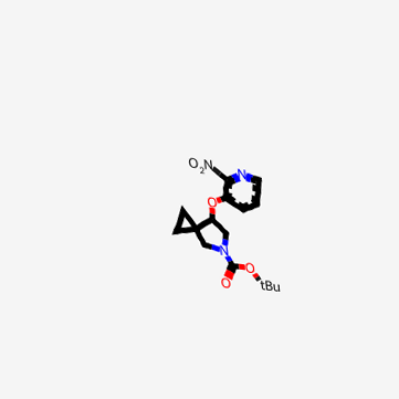 CC(C)(C)OC(=O)N1CC(Oc2cccnc2[N+](=O)[O-])C2(CC2)C1